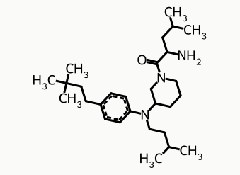 CC(C)CCN(c1ccc(CCC(C)(C)C)cc1)C1CCCN(C(=O)C(N)CC(C)C)C1